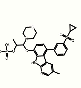 Cc1cnc2[nH]c3c(OC(C(C)OP(=O)(O)O)N4CCOCC4)ccc(-c4cccc(S(=O)(=O)C5CC5)c4)c3c2c1